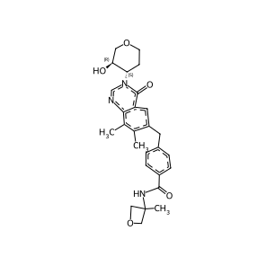 Cc1c(Cc2ccc(C(=O)NC3(C)COC3)cc2)cc2c(=O)n([C@H]3CCOC[C@@H]3O)cnc2c1C